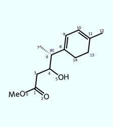 COC(=O)CC(O)[C@H](C)C1=CC=C(C)CC1